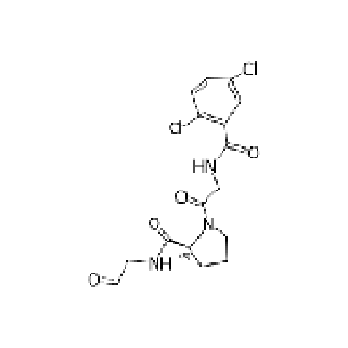 O=CCNC(=O)[C@@H]1CCCN1C(=O)CNC(=O)c1cc(Cl)ccc1Cl